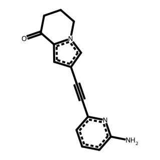 Nc1cccc(C#Cc2cc3n(c2)CCCC3=O)n1